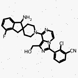 N#Cc1cccc(-c2nc(CO)c3c(N4CCC5(CC4)Cc4c(F)cccc4C5N)nccn23)c1Cl